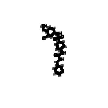 NCc1ccc(NS(=O)(=O)c2ccc(NC(=O)NCc3cccnc3)cc2)cc1Cl